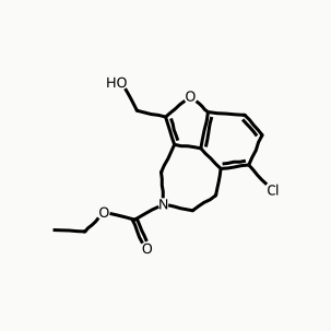 CCOC(=O)N1CCc2c(Cl)ccc3oc(CO)c(c23)C1